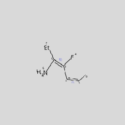 C/C=C\C(F)=C(/N)CC